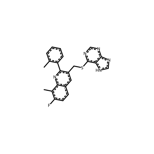 Cc1ccccc1-c1nc2c(C)c(F)ccc2cc1CSc1ncnc2nc[nH]c12